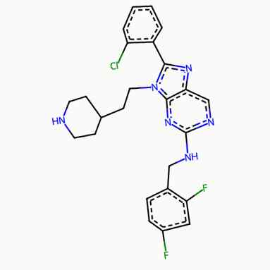 Fc1ccc(CNc2ncc3nc(-c4ccccc4Cl)n(CCC4CCNCC4)c3n2)c(F)c1